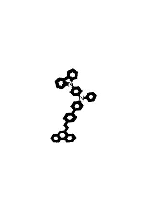 c1ccc(N(c2ccc(-c3ccc(CCC4Cc5ccccc5-c5ccccc54)cc3)cc2)c2ccc(-n3c4ccccc4c4ccccc43)cc2)cc1